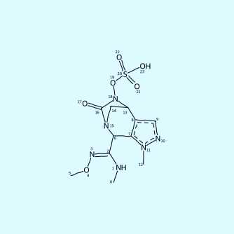 CN/C(=N\OC)C1c2c(cnn2C)C2CN1C(=O)N2OS(=O)(=O)O